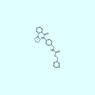 O=C(NCc1ccc(NC(=O)c2ccccc2N2CCCC2)cc1)OCc1cccnc1